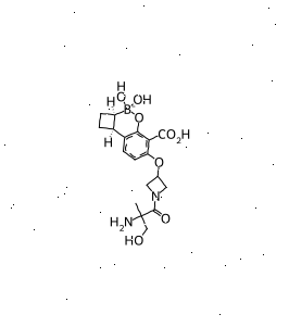 CC(N)(CO)C(=O)N1CC(Oc2ccc3c(c2C(=O)O)O[B-](O)(O)[C@@H]2CC[C@H]32)C1